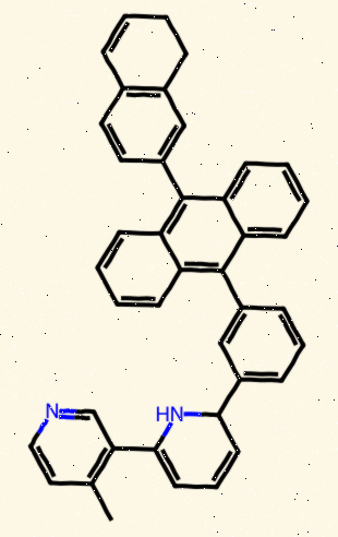 Cc1ccncc1C1=CC=CC(c2cccc(-c3c4ccccc4c(-c4ccc5c(c4)CCC=C5)c4ccccc34)c2)N1